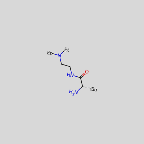 CCC(C)[C@H](N)C(=O)NCCN(CC)CC